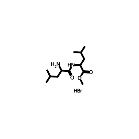 Br.COC(=O)C(CC(C)C)NC(=O)C(N)CC(C)C